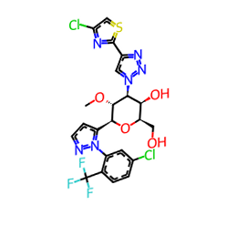 CO[C@@H]1[C@@H](n2cc(-c3nc(Cl)cs3)nn2)[C@@H](O)[C@@H](CO)O[C@H]1c1ccnn1-c1cc(Cl)ccc1C(F)(F)F